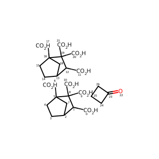 O=C(O)C1C2CCC(C(=O)O)(C2)C1(C(=O)O)C(=O)O.O=C(O)C1C2CCC(C(=O)O)(C2)C1(C(=O)O)C(=O)O.O=C1CCC1